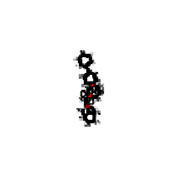 O=C(Nc1ccc(-c2ccccc2)cc1)OCC1C2CCC1CN(Cc1ccccc1)C2